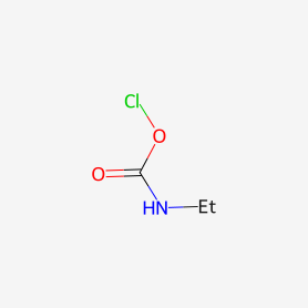 CCNC(=O)OCl